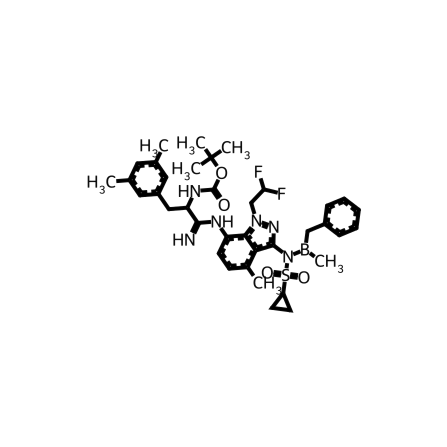 CB(Cc1ccccc1)N(c1nn(CC(F)F)c2c(NC(=N)C(Cc3cc(C)cc(C)c3)NC(=O)OC(C)(C)C)ccc(C)c12)S(=O)(=O)C1CC1